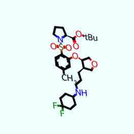 Cc1ccc(S(=O)(=O)N2CCC[C@H]2C(=O)OC(C)(C)C)c(O[C@H]2COC[C@H]2CCCNC2CCC(F)(F)CC2)c1